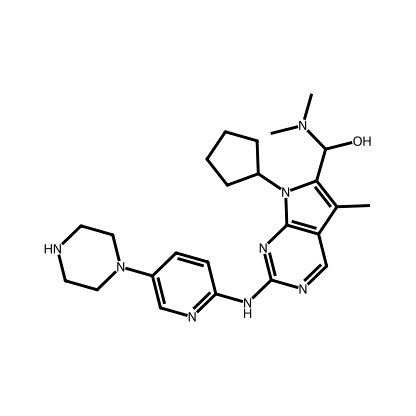 Cc1c(C(O)N(C)C)n(C2CCCC2)c2nc(Nc3ccc(N4CCNCC4)cn3)ncc12